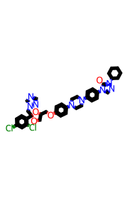 O=c1n(-c2ccc(N3CCN(c4ccc(OCC5COC(Cn6cncn6)(c6ccc(Cl)cc6Cl)O5)cc4)CC3)cc2)cnn1C1CCCCC1